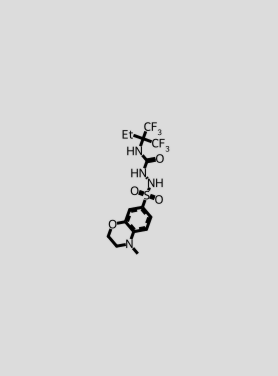 CCC(NC(=O)NNS(=O)(=O)c1ccc2c(c1)OCCN2C)(C(F)(F)F)C(F)(F)F